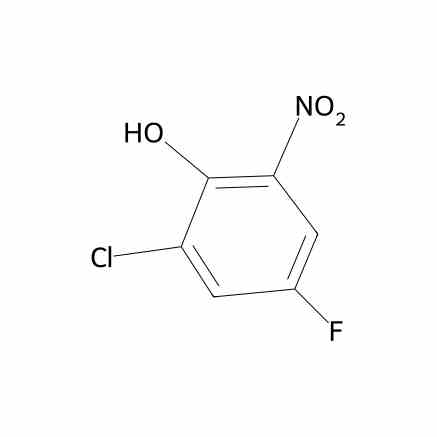 O=[N+]([O-])c1cc(F)cc(Cl)c1O